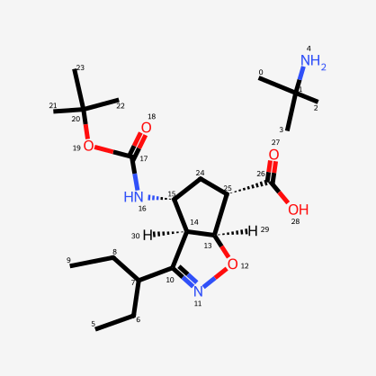 CC(C)(C)N.CCC(CC)C1=NO[C@H]2[C@@H]1[C@H](NC(=O)OC(C)(C)C)C[C@@H]2C(=O)O